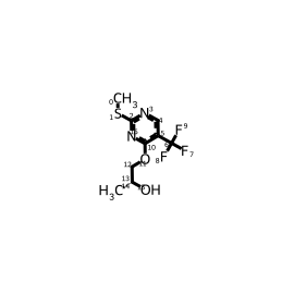 CSc1ncc(C(F)(F)F)c(OC[C@@H](C)O)n1